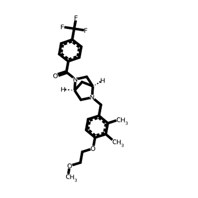 COCCOc1ccc(CN2C[C@@H]3C[C@H]2CN3C(=O)c2ccc(C(F)(F)F)cc2)c(C)c1C